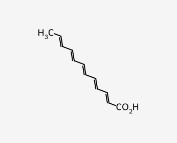 CC=CC=CC=CC=CC=CC(=O)O